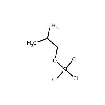 CC(C)CO[Si](Cl)(Cl)Cl